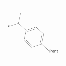 CCCC(C)c1ccc(C(C)F)cc1